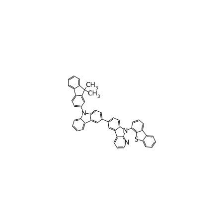 CC1(C)c2ccccc2-c2ccc(-n3c4ccccc4c4cc(-c5ccc6c(c5)c5cccnc5n6-c5cccc6c5sc5ccccc56)ccc43)cc21